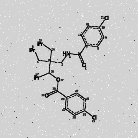 CC(C)CC(CNC(=O)c1ccc(Cl)cc1)(CC(C)C)C(OC(=O)c1ccc(Cl)cc1)C(C)C